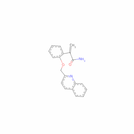 C=C(C(N)=O)c1ccccc1OCc1ccc2ccccc2n1